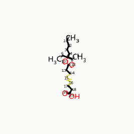 CCCCCC(CC)(CC)OC(=O)CCSSCCC(=O)O